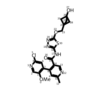 COc1cnc(Cl)cc1-c1cc(C)ncc1C(=O)Nc1nnc(OCC23CC(O)(C2)C3)s1